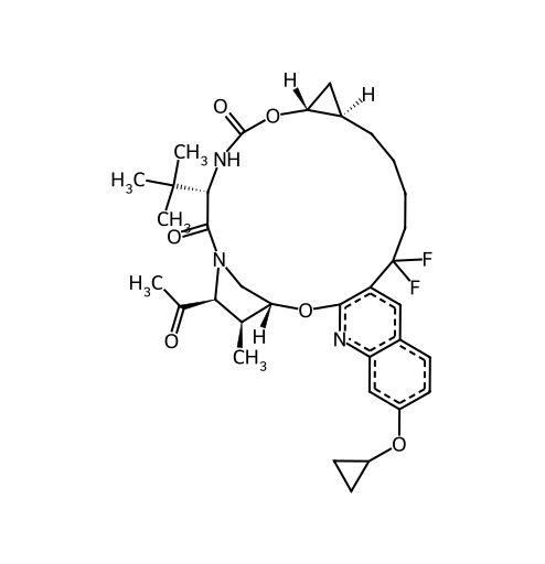 CC(=O)[C@@H]1[C@H](C)[C@@H]2CN1C(=O)[C@H](C(C)(C)C)NC(=O)O[C@@H]1C[C@H]1CCCCC(F)(F)c1cc3ccc(OC4CC4)cc3nc1O2